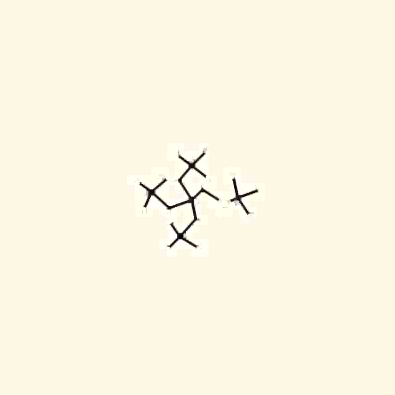 CC(C)(C)CC(COC(C)(C)C)(CC(C)(C)C)CC(C)(C)C